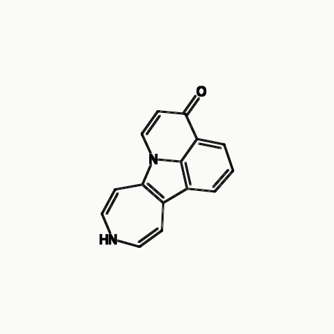 O=c1ccn2c3c(c4cccc1c42)C=CNC=C3